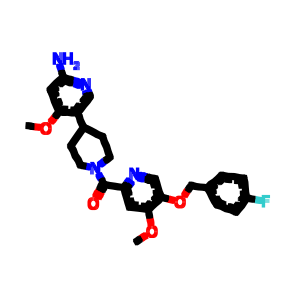 COc1cc(C(=O)N2CCC(c3cnc(N)cc3OC)CC2)ncc1OCc1ccc(F)cc1